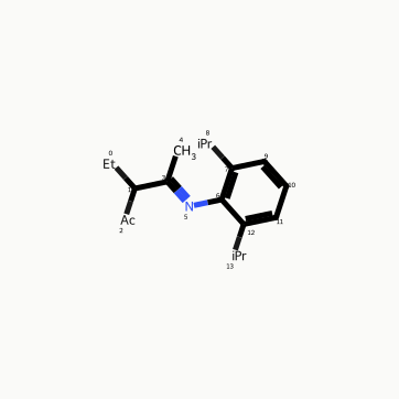 CCC(C(C)=O)C(C)=Nc1c(C(C)C)cccc1C(C)C